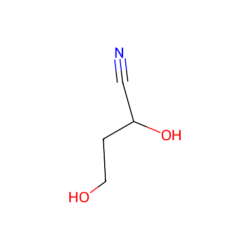 N#CC(O)CCO